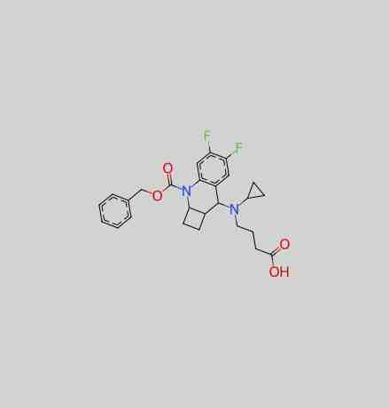 O=C(O)CCCN(C1CC1)C1c2cc(F)c(F)cc2N(C(=O)OCc2ccccc2)C2CCC21